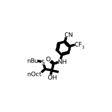 CCCCCCCCC(SCCCC)C(C)(O)C(=O)Nc1ccc(C#N)c(C(F)(F)F)c1